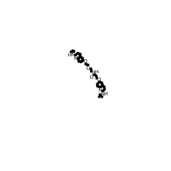 CC(C)(C)Nc1ccc2cc(OCCOCCNC(=O)CCOc3ccc4nc(NC(C)(C)C)ccc4c3)ccc2n1